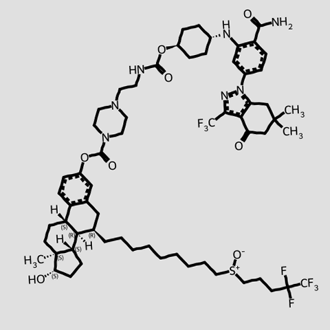 CC1(C)CC(=O)c2c(C(F)(F)F)nn(-c3ccc(C(N)=O)c(N[C@H]4CC[C@H](OC(=O)NCCN5CCN(C(=O)Oc6ccc7c(c6)C[C@@H](CCCCCCCCC[S+]([O-])CCCC(F)(F)C(F)(F)F)[C@@H]6[C@@H]7CC[C@]7(C)[C@@H](O)CC[C@@H]67)CC5)CC4)c3)c2C1